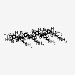 COc1ccc(NC(=O)[C@H](CCCCN)NC(=O)c2cc(NC(=O)[C@H](CCCCN)NC(=O)c3cc(NC(=O)[C@H](CCCCN)NC(=O)c4cc(NC(=O)[C@@H](N)CCCCN)ccc4OC)ccc3OC)ccc2OC)cc1C(=O)O